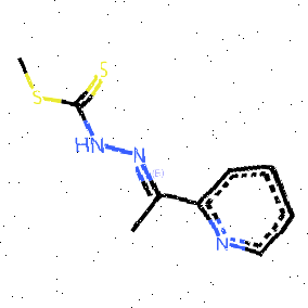 CSC(=S)N/N=C(\C)c1ccccn1